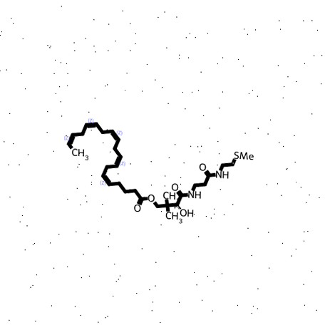 C/C=C\C/C=C\C/C=C\C/C=C\C/C=C\CCCC(=O)OCC(C)(C)[C@@H](O)C(=O)NCCC(=O)NCCSC